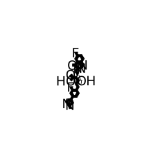 Cn1cc(-c2ccc(CC[C@@H](O)[C@H](CCn3nnc4ccc(F)cc4c3=O)C(=O)O)c(F)c2)cn1